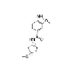 COc1cc(C(=O)N[C@@H]2CC[C@@H](OC)C2)ccc1N